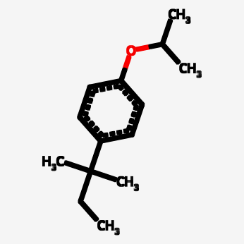 CCC(C)(C)c1ccc(OC(C)C)cc1